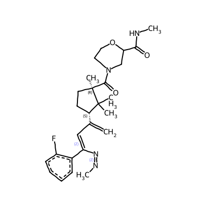 C=C(/C=C(\N=N/C)c1ccccc1F)[C@@H]1CC[C@@](C)(C(=O)N2CCOC(C(=O)NC)C2)C1(C)C